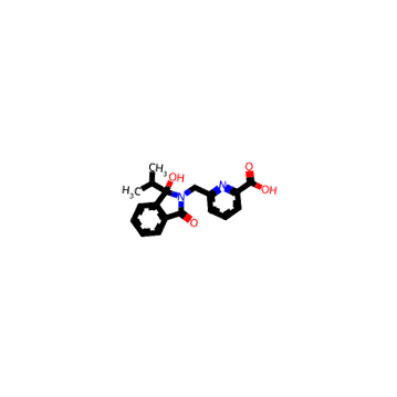 CC(C)C1(O)c2ccccc2C(=O)N1Cc1cccc(C(=O)O)n1